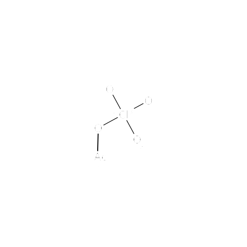 CC(=O)O[Cl+3]([O-])([O-])[O-]